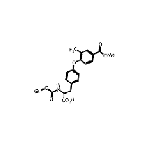 COC(=O)c1ccc(Oc2ccc(C[C@H](NC(=O)OC(C)(C)C)C(=O)O)cc2)c(C(F)(F)F)c1